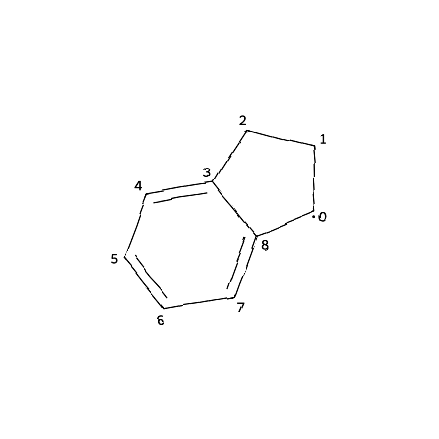 [CH]1CCc2ccccc21